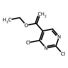 C=C(OCC)c1cnc(Cl)nc1Cl